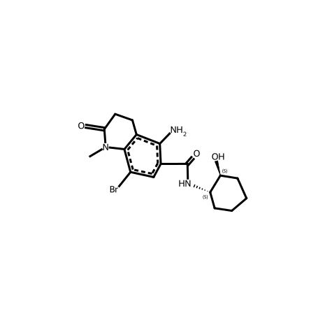 CN1C(=O)CCc2c(N)c(C(=O)N[C@H]3CCCC[C@@H]3O)cc(Br)c21